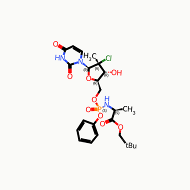 C[C@H](N[P@](=O)(OC[C@H]1O[C@@H](n2ccc(=O)[nH]c2=O)[C@](C)(Cl)[C@@H]1O)Oc1ccccc1)C(=O)OCC(C)(C)C